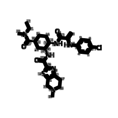 C=C(Nc1ccc(Cl)cc1)C(=O)N[C@H]1CC[C@H](C(=O)N(C)CC)C[C@H]1NC(=O)c1nc2c(s1)CN(C)CC2